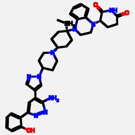 C[SiH2][C@]1(N2CCN([C@H]3CCC(=O)NC3=O)c3ccccc32)CC[C@@H](N2CCC(n3cc(-c4cc(-c5ccccc5O)nnc4N)cn3)CC2)CC1